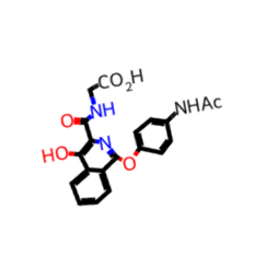 CC(=O)Nc1ccc(Oc2nc(C(=O)NCC(=O)O)c(O)c3ccccc23)cc1